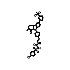 CN1CCc2c(n(-c3ccc(CCNC(=O)NS(=O)(=O)c4ccc(Cl)cc4)cc3)c3ccc(-c4cccc(S(C)(=O)=O)c4)cc23)C1=O